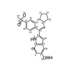 COc1cnc2[nH]c(C(=CC3CCCC3)c3ccc(S(C)(=O)=O)cc3)cc2c1